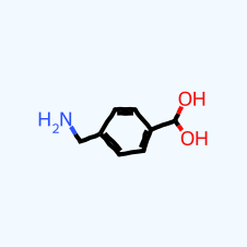 NCc1ccc(C(O)O)cc1